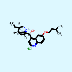 CC[C@H]1C[N@]2CC[C@H]1C[C@H]2[C@H](O)c1ccnc2ccc(OCCC(C)C)cc12.Cl